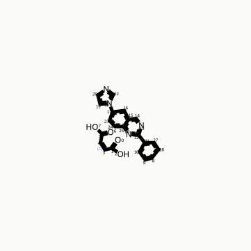 O=C(O)/C=C\C(=O)O.c1ccc(-c2ncc3cc(-n4ccnc4)ccc3n2)cc1